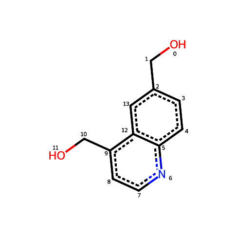 OCc1ccc2nccc(CO)c2c1